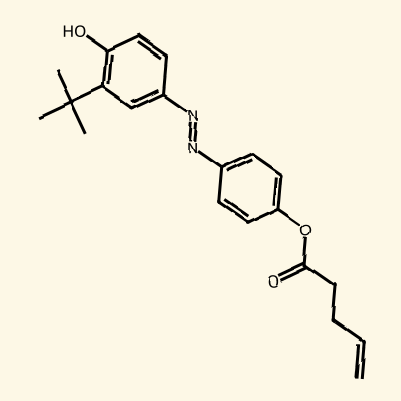 C=CCCC(=O)Oc1ccc(N=Nc2ccc(O)c(C(C)(C)C)c2)cc1